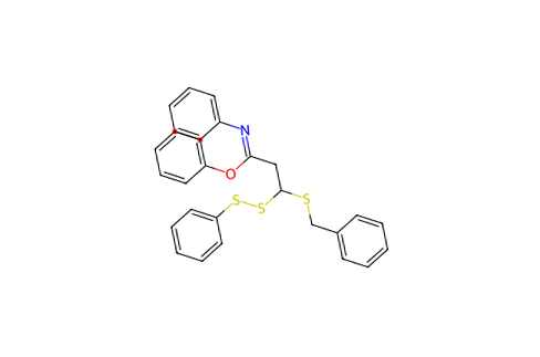 c1ccc(CSC(C/C(=N/c2ccccc2)Oc2ccccc2)SSc2ccccc2)cc1